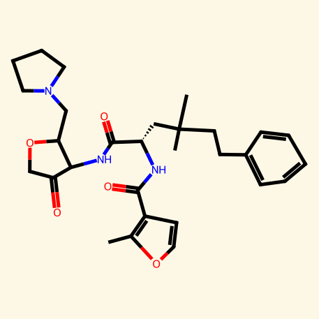 Cc1occc1C(=O)N[C@@H](CC(C)(C)CCc1ccccc1)C(=O)NC1C(=O)COC1CN1CCCC1